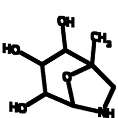 CC12CNC(O1)C(O)C(O)C2O